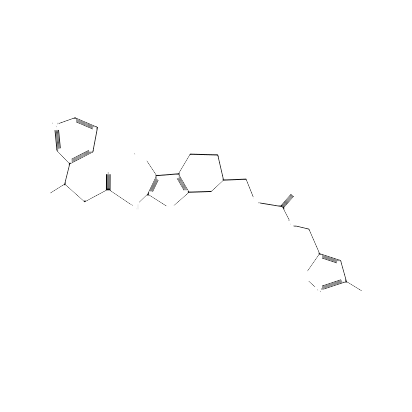 Cc1cc(CNC(=O)OCC2CCc3c(sc(NC(=O)CC(C)c4cccnc4)c3C#N)C2)on1